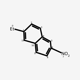 CCc1ccc2cc([N+](=O)[O-])ccc2c1